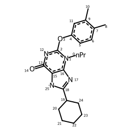 CCCn1c(Oc2ccc(C)c(C)c2)nc(=O)c2c1N=C(C1CCCCC1)[N]2